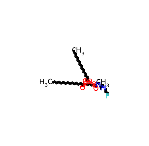 CCCCCCCCCCCCCCCC(=O)OCC(COC(=O)N(C)C1CN(CCCF)C1)OC(=O)CCCCCCCCCCCCCCC